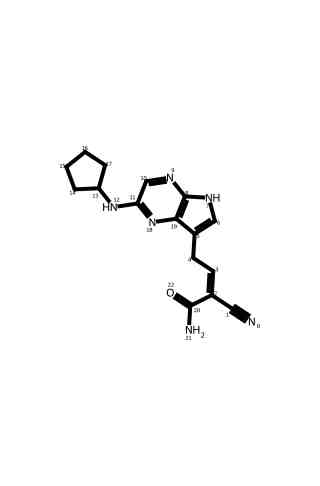 N#CC(=CCc1c[nH]c2ncc(NC3CCCC3)nc12)C(N)=O